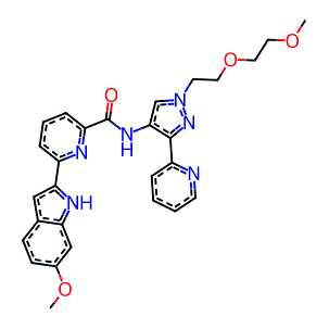 COCCOCCn1cc(NC(=O)c2cccc(-c3cc4ccc(OC)cc4[nH]3)n2)c(-c2ccccn2)n1